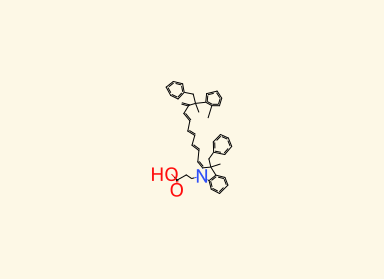 C=C(/C=C/C=C/C=C/C=C1/N(CCC(=O)O)c2ccccc2C1(C)Cc1ccccc1)C(C)(Cc1ccccc1)c1ccccc1C